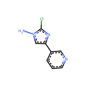 Nn1cc(-c2cccnc2)nc1Cl